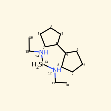 C1CCC(C2CCCC2)C1.CCN[SiH2]NCC